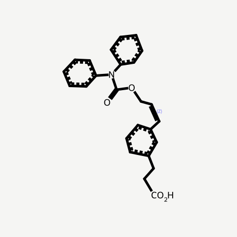 O=C(O)CCc1cccc(/C=C\COC(=O)N(c2ccccc2)c2ccccc2)c1